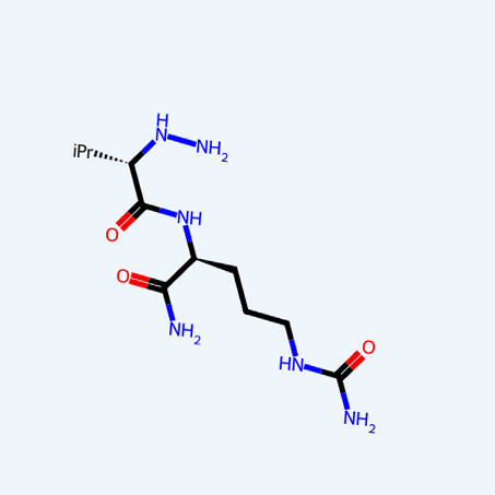 CC(C)[C@H](NN)C(=O)N[C@@H](CCCNC(N)=O)C(N)=O